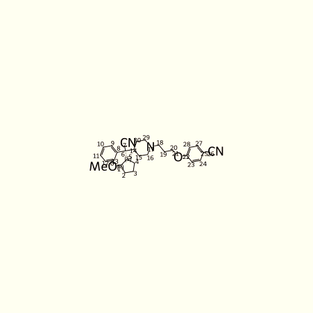 CO[C@@H]1CCC[C@H]1C(C#N)(c1ccccc1)C1CCN(CCCOc2ccc(C#N)cc2)CC1